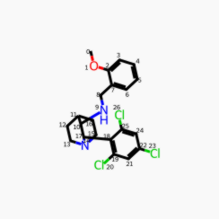 COc1ccccc1CNC1C2CCN(CC2)C1c1c(Cl)cc(Cl)cc1Cl